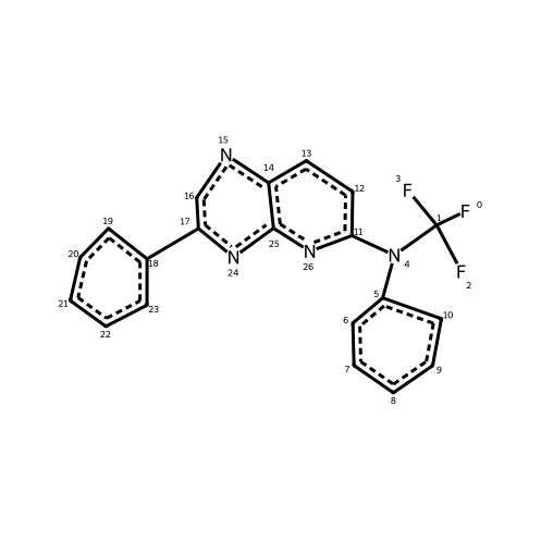 FC(F)(F)N(c1ccccc1)c1ccc2ncc(-c3ccccc3)nc2n1